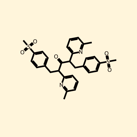 Cc1cccc(C(Cc2ccc(S(C)(=O)=O)cc2)C(=O)C(Cc2ccc(S(C)(=O)=O)cc2)c2cccc(C)n2)n1